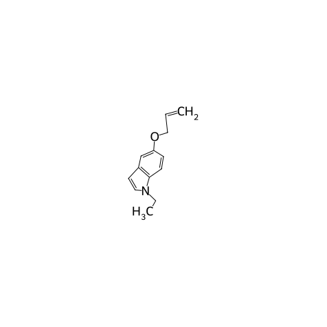 C=CCOc1ccc2c(ccn2CC)c1